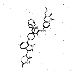 C=C1CCC(c2nn(C)c3c(N4CCC(CN5CC6CCC(C5)N6c5ncc(Cl)c(Nc6ccc7c(c6)C=C(CCC)C(=C)N7C)n5)CC4)cccc23)C(=C)N1